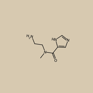 CN(CCN)C(=O)c1cnc[nH]1